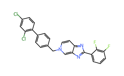 Fc1cccc(-c2nc3ccn(Cc4ccc(-c5ccc(Cl)cc5Cl)cc4)cc-3n2)c1F